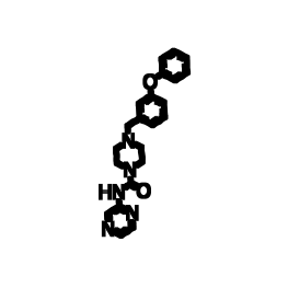 O=C(Nc1cnccn1)N1CCN(Cc2cccc(Oc3ccccc3)c2)CC1